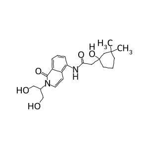 CC1(C)CCCC(O)(CC(=O)Nc2cccc3c(=O)n(C(CO)CO)ccc23)C1